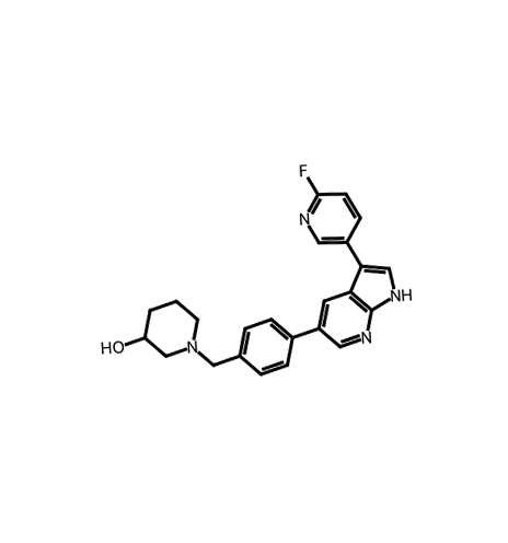 OC1CCCN(Cc2ccc(-c3cnc4[nH]cc(-c5ccc(F)nc5)c4c3)cc2)C1